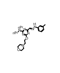 CCCN(CCC)c1nc(/C=N/Nc2cccc(C)c2)nc(OCCN2CCOCC2)n1